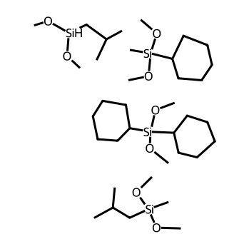 CO[SiH](CC(C)C)OC.CO[Si](C)(CC(C)C)OC.CO[Si](C)(OC)C1CCCCC1.CO[Si](OC)(C1CCCCC1)C1CCCCC1